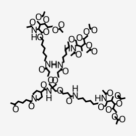 CC(=O)CCCC(=O)N1CCC(C(=O)NC(COCCC(=O)NCCCCCCOC2OC(COC(C)=O)C(OC(C)=O)C(C)C2NC(C)=O)(COCCC(=O)NCCCCCCOC2OC(COC(C)=O)C(OC(C)=O)C(C)C2NC(C)=O)COCCC(=O)NCCCCCCOC2OC(COC(C)=O)C(OC(C)=O)C(C)C2NC(C)=O)CC1